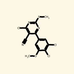 COc1cc(-c2nc(SC)nc(Cl)c2C#N)cc(Cl)c1Cl